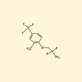 Cc1cc(C(F)(F)F)ccc1OCC(C)(F)F